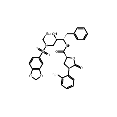 CC[C@H](C)CN(C[C@@H](O)[C@H](Cc1ccccc1)NC(=O)[C@@H]1CN(c2ccccc2C(F)(F)F)C(=O)O1)S(=O)(=O)c1ccc2c(c1)OCO2